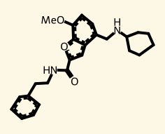 COc1ccc(CNC2CCCCC2)c2cc(C(=O)NCCc3ccccc3)oc12